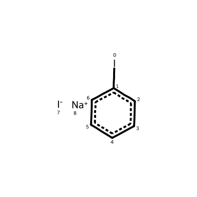 Ic1ccccc1.[I-].[Na+]